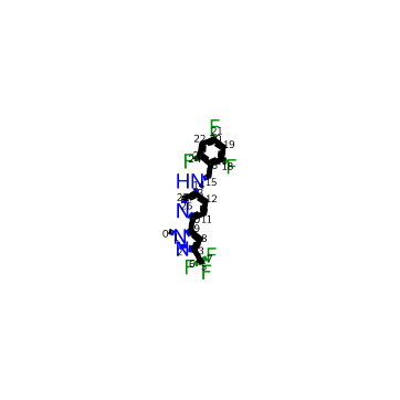 Cn1nc(C(F)(F)F)cc1-c1ccc(NCc2c(F)cc(F)cc2F)cn1